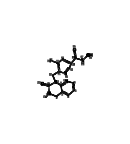 CN1Cc2cccnc2N(Cc2ncc(C(=O)NO)cc2F)C1=O